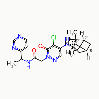 CC(NC(=O)Cn1ncc(N[C@@H]2C[C@@H]3C[C@H]([C@H]2C)C3(C)C)c(Cl)c1=O)c1ccncn1